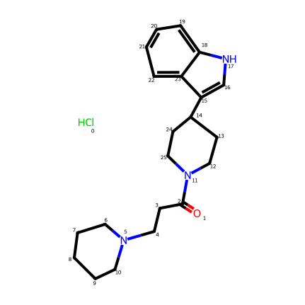 Cl.O=C(CCN1CCCCC1)N1CCC(c2c[nH]c3ccccc23)CC1